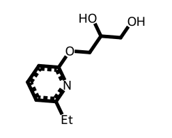 CCc1cccc(OCC(O)CO)n1